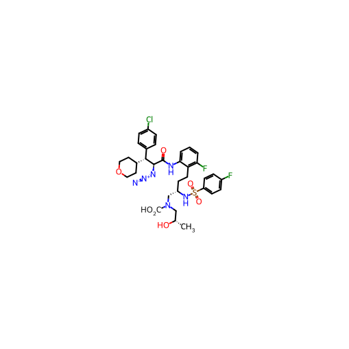 C[C@H](O)CN(C[C@H](CCc1c(F)cccc1NC(=O)[C@@H](N=[N+]=[N-])[C@@H](c1ccc(Cl)cc1)C1CCOCC1)NS(=O)(=O)c1ccc(F)cc1)C(=O)O